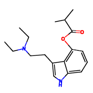 CCN(CC)CCc1c[nH]c2cccc(OC(=O)C(C)C)c12